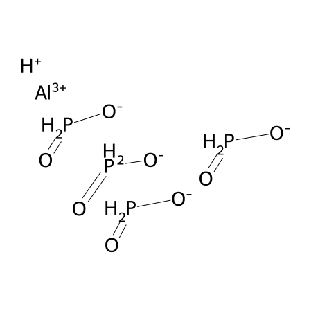 O=[PH2][O-].O=[PH2][O-].O=[PH2][O-].O=[PH2][O-].[Al+3].[H+]